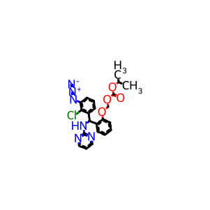 CC(C)OC(=O)OCOc1ccccc1C(Nc1ncccn1)c1cccc(N=[N+]=[N-])c1Cl